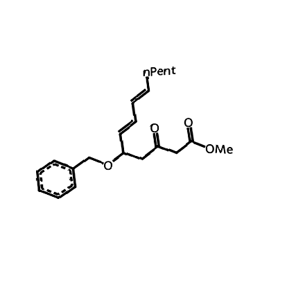 CCCCC/C=C/C=C/C(CC(=O)CC(=O)OC)OCc1ccccc1